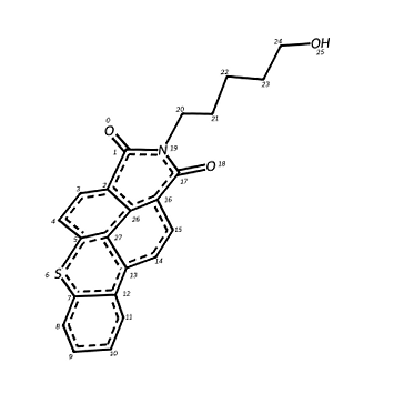 O=c1c2ccc3sc4ccccc4c4ccc(c(=O)n1CCCCCO)c2c34